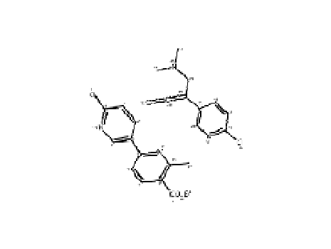 CCOC(=O)c1ccc(-c2ccc(Cl)nc2)nc1C.CN(C)CC(=C=O)c1ccc(Cl)nc1